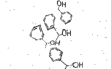 CC(O)c1ccccc1.CC(O)c1ccccc1.CC(O)c1ccccc1.OCc1ccccc1